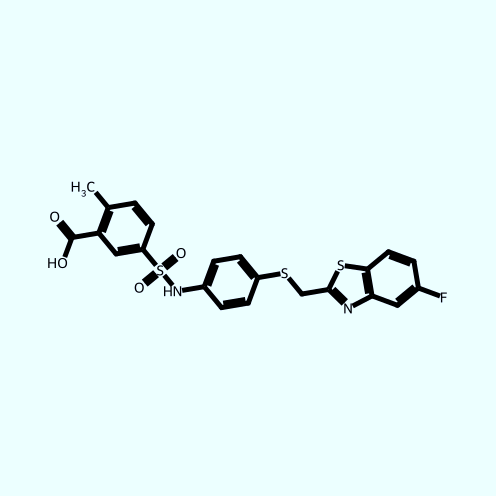 Cc1ccc(S(=O)(=O)Nc2ccc(SCc3nc4cc(F)ccc4s3)cc2)cc1C(=O)O